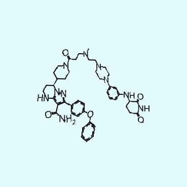 CN(CCC(=O)N1CCC([C@@H]2CCNc3c(C(N)=O)c(-c4ccc(Oc5ccccc5)cc4)nn32)CC1)CCN1CCN(c2cccc(NC3CCC(=O)NC3=O)c2)CC1